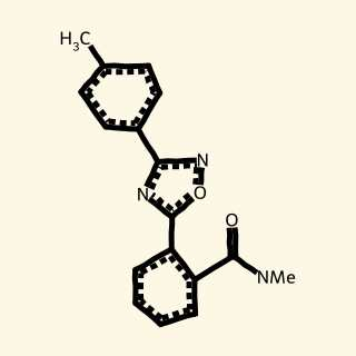 CNC(=O)c1ccccc1-c1nc(-c2ccc(C)cc2)no1